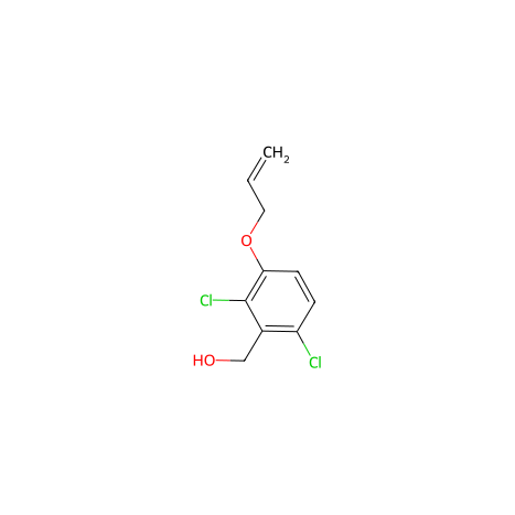 C=CCOc1ccc(Cl)c(CO)c1Cl